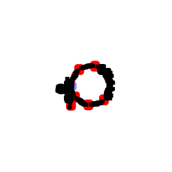 CCCC1(CCC)c2ccccc2-c2c1c1c(c3cc(OC)ccc23)Oc2ccc(cc2)Oc2ccc(cc2)OCCCCCCCCCCCCOc2ccc(cc2)Oc2ccc(cc2)/C=C\1